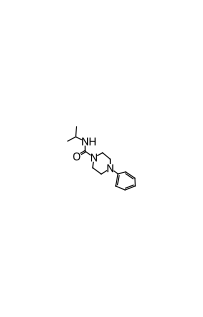 CC(C)NC(=O)N1CCN(c2ccccc2)CC1